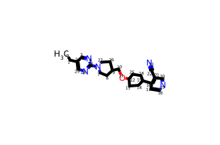 CCc1cnc(N2CCC(COC3CCC(c4ccncc4C#N)CC3)CC2)nc1